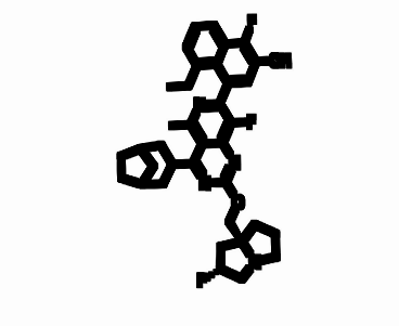 CCc1cccc2c(F)c(O)cc(-c3nc(C)c4c(C5CC6CCC(C6)C5)nc(OC[C@@]56CCCN5C[C@H](F)C6)nc4c3F)c12